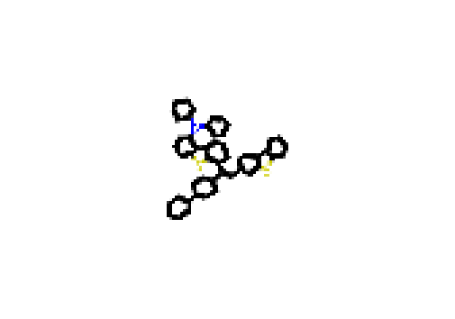 C(=C(\c1ccc(-c2ccccc2)cc1)c1cccc2c1sc1cccc(N(c3ccccc3)c3ccccc3)c12)/c1ccc2c(c1)sc1ccccc12